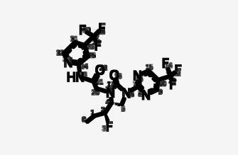 CC[C@H](F)[C@H]1CN(c2ncc(C(F)(F)F)cn2)C(=O)N1CC(=O)Nc1cc(C(F)(F)F)ccn1